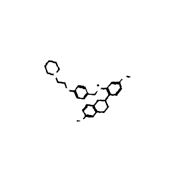 COc1ccc2c(c1)CCC(c1ccc(OC)cc1N(C)Cc1ccc(OCCN3CCCCC3)cc1)C2